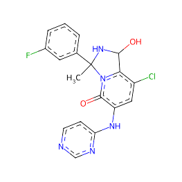 CC1(c2cccc(F)c2)NC(O)c2c(Cl)cc(Nc3ccncn3)c(=O)n21